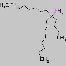 CCCCCCCCC(P)(CCCC)CCCCCCCC